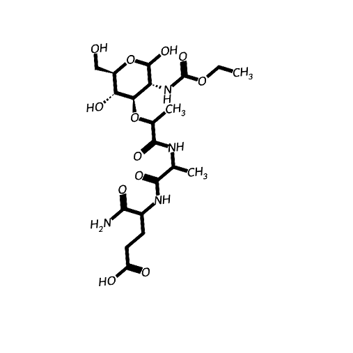 CCOC(=O)N[C@H]1C(O)O[C@H](CO)[C@@H](O)[C@@H]1OC(C)C(=O)NC(C)C(=O)NC(CCC(=O)O)C(N)=O